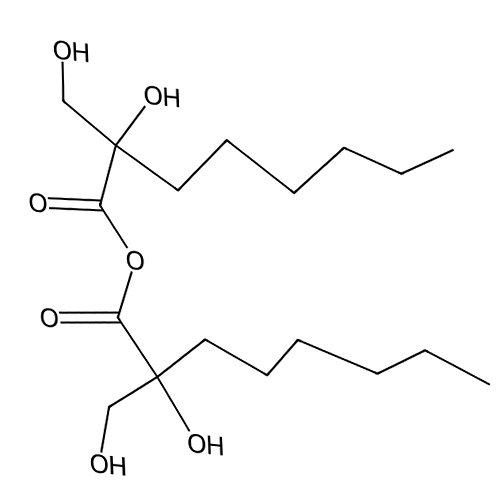 CCCCCCC(O)(CO)C(=O)OC(=O)C(O)(CO)CCCCCC